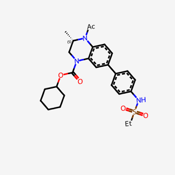 CCS(=O)(=O)Nc1ccc(-c2ccc3c(c2)N(C(=O)OC2CCCCC2)C[C@H](C)N3C(C)=O)cc1